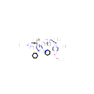 C[C@@H]1CN(C(=O)OC(C)(C)C)[C@@H](c2ccccc2)CN1C(=O)C(C)(C)CN(C)C.C[C@@H]1CN[C@@H](c2ccccc2)CN1C(=O)C(C)(C)CN(C)C